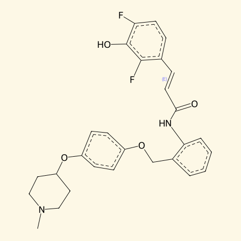 CN1CCC(Oc2ccc(OCc3ccccc3NC(=O)/C=C/c3ccc(F)c(O)c3F)cc2)CC1